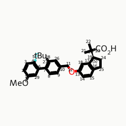 COc1ccc(F)c(-c2ccc(COc3ccc4c(c3)[C@@H](C(C)(C)C(=O)O)CC4)cc2C(C)(C)C)c1